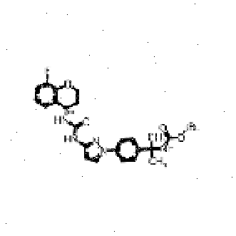 CC(C)(C)OC(=O)NC(C)(C)c1ccc(-n2ccc(NC(=O)N[C@H]3CCOc4c(F)cccc43)n2)cc1